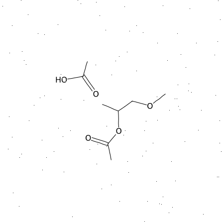 CC(=O)O.COCC(C)OC(C)=O